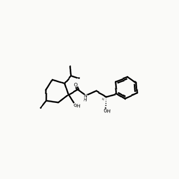 CC1CCC(C(C)C)C(O)(C(=O)NC[C@@H](O)c2ccccc2)C1